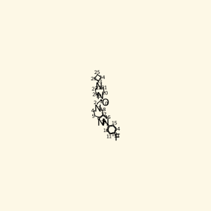 O=C(CN1CCc2nn(-c3ccc(F)cc3)cc2C1)N1CCN(C2CCC2)CC1